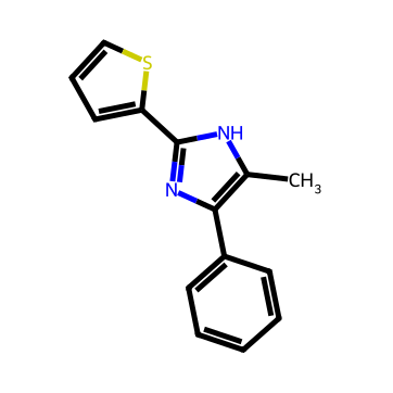 Cc1[nH]c(-c2cccs2)nc1-c1ccccc1